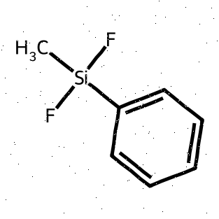 C[Si](F)(F)c1ccccc1